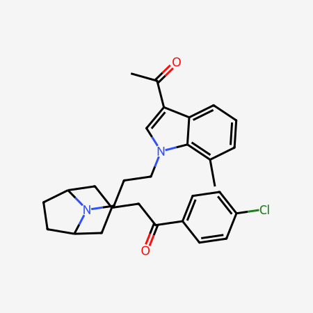 CC(=O)c1cn(CCCN2C3CCC2CC(CC(=O)c2ccc(Cl)cc2)C3)c2c(C)cccc12